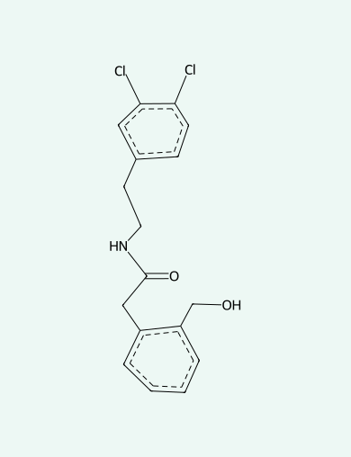 O=C(Cc1ccccc1CO)NCCc1ccc(Cl)c(Cl)c1